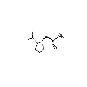 CC(C)N1CCC[C@@H]1CC(=O)O